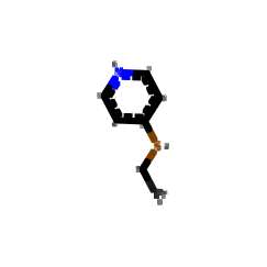 CC(C)CSc1c[c]ncc1